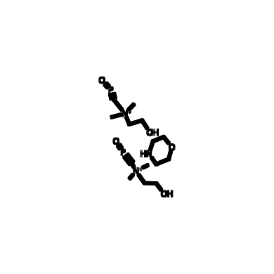 C1COCCN1.C[N+](C)(C#P=O)CCO.C[N+](C)(C#P=O)CCO